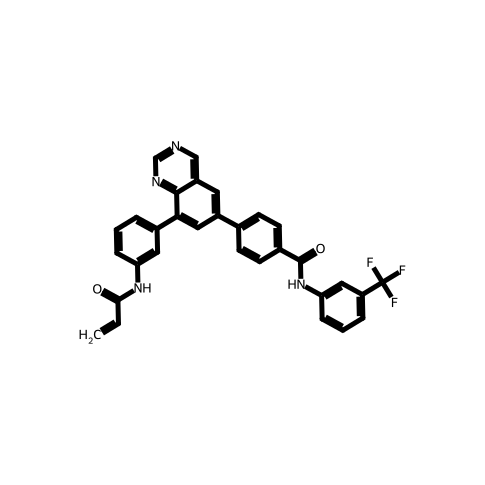 C=CC(=O)Nc1cccc(-c2cc(-c3ccc(C(=O)Nc4cccc(C(F)(F)F)c4)cc3)cc3cncnc23)c1